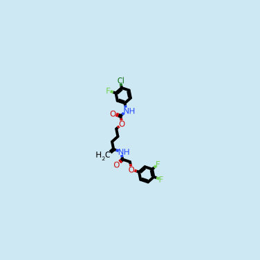 C=C(CCCOC(=O)Nc1ccc(Cl)c(F)c1)NC(=O)COc1ccc(F)c(F)c1